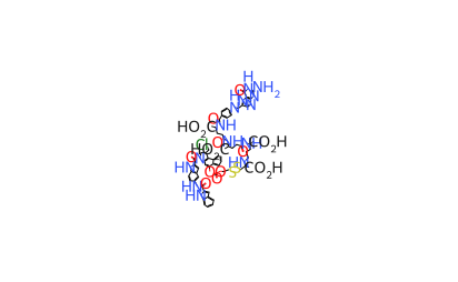 Nc1nc2ncc(CNc3ccc(C(=O)NC(CCC(=O)NC(CCC(=O)NC(CCCNC(CSSCCOC(=O)Oc4cc5c(c6ccccc46)C(CCl)CN5C(=O)c4cc5cc(NC(=O)c6cc7ccccc7[nH]6)ccc5[nH]4)C(=O)O)C(=O)O)C(=O)O)C(=O)O)cc3)nc2c(=O)[nH]1